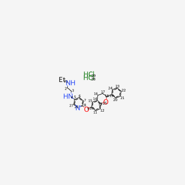 CCNCCNc1ccc(Oc2ccc3c(c2)CCC(c2ccccc2)O3)nc1.Cl.Cl